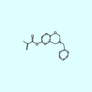 C=C(C)C(=O)Oc1ccc2c(c1)CN(Cc1ccccc1)CO2